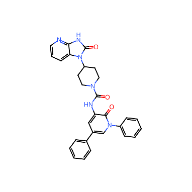 O=C(Nc1cc(-c2ccccc2)cn(-c2ccccc2)c1=O)N1CCC(n2c(=O)[nH]c3ncccc32)CC1